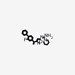 C=C(c1ccc(-c2ccccc2)c(F)c1)c1cc(/N=C(/N)N2CCCCC2)on1